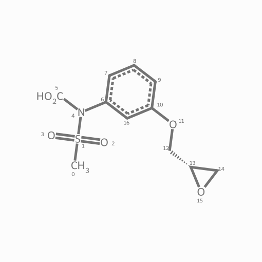 CS(=O)(=O)N(C(=O)O)c1cccc(OC[C@@H]2CO2)c1